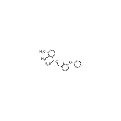 Cc1cccc(C([SiH3])OCc2cccc(Oc3ccccc3)n2)c1C